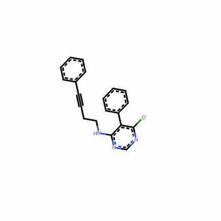 Clc1ncnc(NCCC#Cc2ccccc2)c1-c1ccccc1